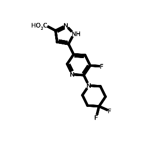 O=C(O)c1cc(-c2cnc(N3CCC(F)(F)CC3)c(F)c2)[nH]n1